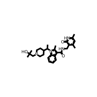 Cc1cc(C)c(CNC(=O)c2c(C)n(C(C)C3CCN(CC(C)(C)O)CC3)c3ccccc23)c(=O)[nH]1